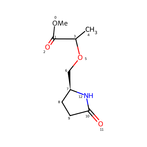 COC(=O)C(C)OC[C@@H]1CCC(=O)N1